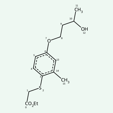 CCOC(=O)CSc1ccc(OCCC(C)O)cc1C